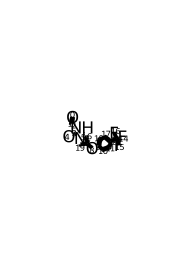 O=CNC(=O)N1CC(Oc2ccc(C(F)(F)F)cc2)C1